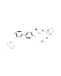 CN1CCN(S(=O)(=O)c2cc(-c3ccc(C[C@@H](C#N)NC(=O)[C@@H]4[C@H]5CC[C@H](C5)N4C(=O)OC(C)(C)C)c(F)c3)ccc2F)CC1